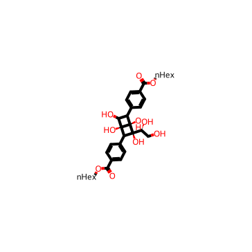 CCCCCCOC(=O)c1ccc(C2C(O)[C@@]3(O)C(c4ccc(C(=O)OCCCCCC)cc4)[C@@](O)([C@H](O)CO)[C@@]23O)cc1